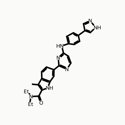 CCN(CC)C(=O)c1[nH]c2cc(-c3nccc(Nc4ccc(-c5cn[nH]c5)cc4)n3)ccc2c1C